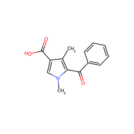 Cc1c(C(=O)O)cn(C)c1C(=O)c1ccccc1